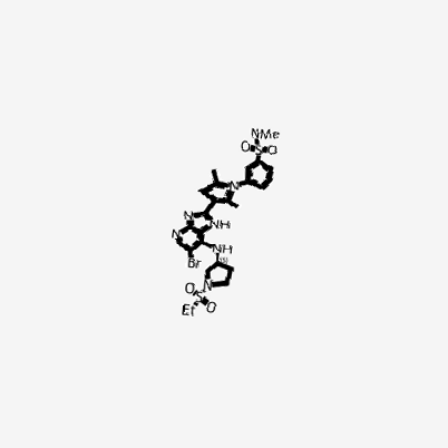 CCS(=O)(=O)N1CC[C@H](Nc2c(Br)cnc3nc(-c4cc(C)n(-c5cccc(S(=O)(=O)NC)c5)c4C)[nH]c23)C1